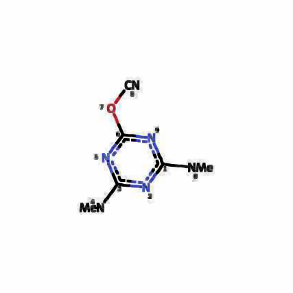 CNc1nc(NC)nc(OC#N)n1